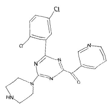 O=C(c1cccnc1)c1nc(-c2cc(Cl)ccc2Cl)nc(N2CCNCC2)n1